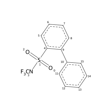 O=S(=O)(NC(F)(F)F)c1ccccc1-c1ccccc1